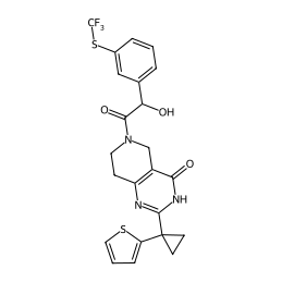 O=C(C(O)c1cccc(SC(F)(F)F)c1)N1CCc2nc(C3(c4cccs4)CC3)[nH]c(=O)c2C1